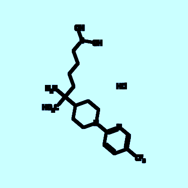 Cl.NC(CCCCB(O)O)(C(=O)O)C1CCN(c2ccc(C(F)(F)F)cn2)CC1